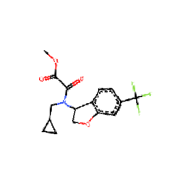 COC(=O)C(=O)N(CC1CC1)C1COc2cc(C(F)(F)F)ccc21